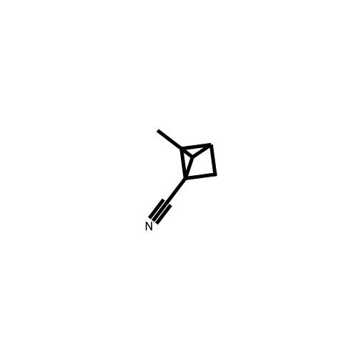 CC1C2CC1(C#N)C2